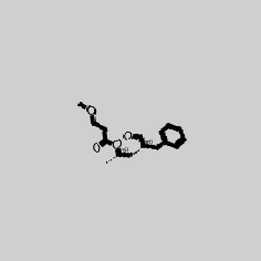 COCCC(=O)O[C@@H](C)C[C@H](C=O)Cc1ccccc1